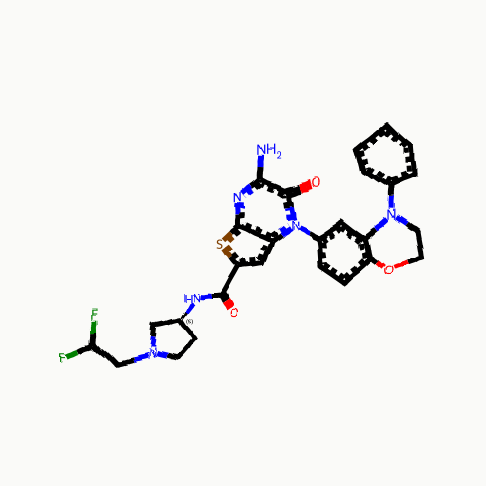 Nc1nc2sc(C(=O)N[C@H]3CCN(CC(F)F)C3)cc2n(-c2ccc3c(c2)N(c2ccccc2)CCO3)c1=O